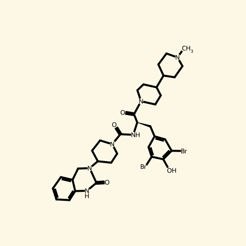 CN1CCC(C2CCN(C(=O)[C@@H](Cc3cc(Br)c(O)c(Br)c3)NC(=O)N3CCC(N4Cc5ccccc5NC4=O)CC3)CC2)CC1